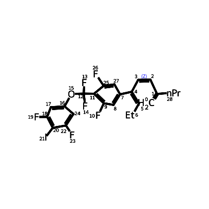 C=C(/C=C\C(=CCC)c1cc(F)c(C(F)(F)Oc2cc(F)c(I)c(F)c2)c(F)c1)CCC